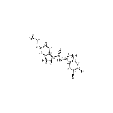 O=C(Nc1c[nH]c2cc(F)c(F)cc12)c1n[nH]c2cc(OCC(F)(F)F)ncc12